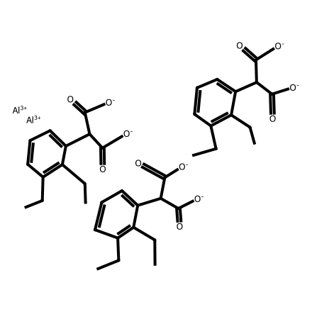 CCc1cccc(C(C(=O)[O-])C(=O)[O-])c1CC.CCc1cccc(C(C(=O)[O-])C(=O)[O-])c1CC.CCc1cccc(C(C(=O)[O-])C(=O)[O-])c1CC.[Al+3].[Al+3]